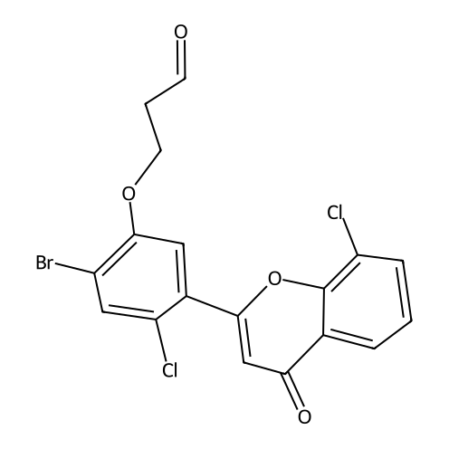 O=CCCOc1cc(-c2cc(=O)c3cccc(Cl)c3o2)c(Cl)cc1Br